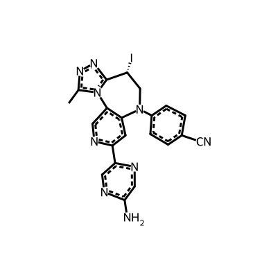 Cc1nnc2n1-c1cnc(-c3cnc(N)cn3)cc1N(c1ccc(C#N)cc1)C[C@H]2I